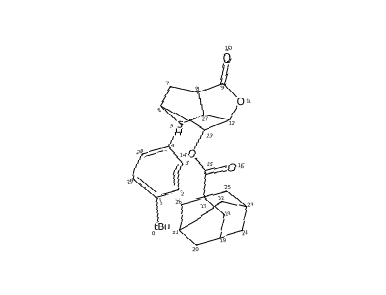 CC(C)(C)c1ccc([SH]2C3CC4C(=O)OC(C3OC(=O)C35CC6CC(CC(C6)C3)C5)C42)cc1